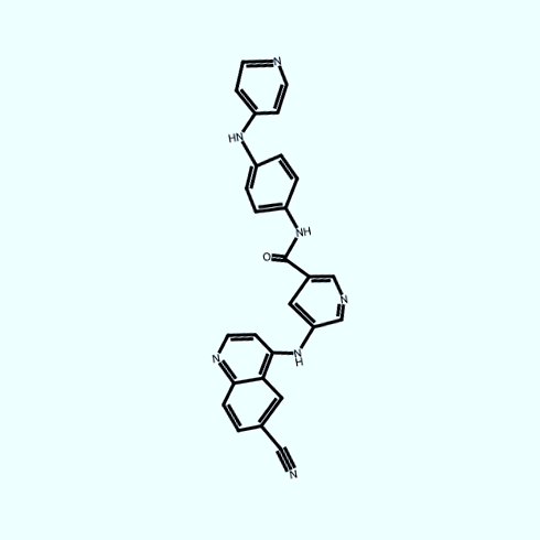 N#Cc1ccc2nccc(Nc3cncc(C(=O)Nc4ccc(Nc5ccncc5)cc4)c3)c2c1